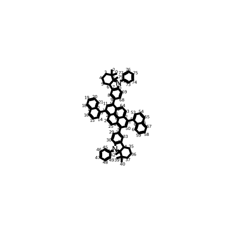 CC1(C)CCCC2c3cc(-c4cc(-c5cccc6ccccc56)c5ccc6c(-c7ccc8c(c7)C7CCCC(C)(C)C7(C)N8c7ccccc7)cc(-c7cccc8ccccc78)c7ccc4c5c67)ccc3N(c3ccccc3)C21C